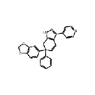 C1=CC(c2ccccc2)(c2ccc3c(c2)OCO3)Cc2[nH]nc(-c3ccncc3)c21